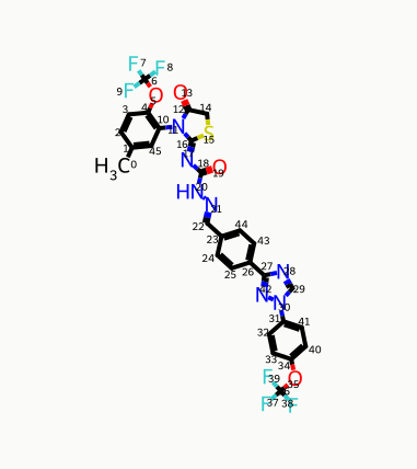 Cc1ccc(OC(F)(F)F)c(N2C(=O)CS/C2=N\C(=O)N/N=C/c2ccc(-c3ncn(-c4ccc(OC(F)(F)F)cc4)n3)cc2)c1